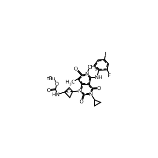 Cc1c(=O)n(C)c(Nc2ccc(I)cc2F)c2c(=O)n(C3CC3)c(=O)n(C34CC(NC(=O)OC(C)(C)C)(C3)C4)c12